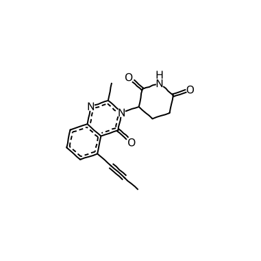 CC#Cc1cccc2nc(C)n(C3CCC(=O)NC3=O)c(=O)c12